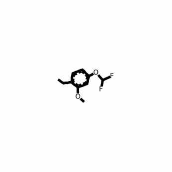 CCc1ccc(OC(F)F)cc1OC